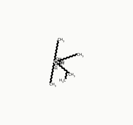 CCCCCCCCCCCCC(O)CN(CC(O)CCCCCCCCCCCC)N(CC(O)CCCCCCCCCCCC)CC(O)CCCCCCC(CC)CCCCC